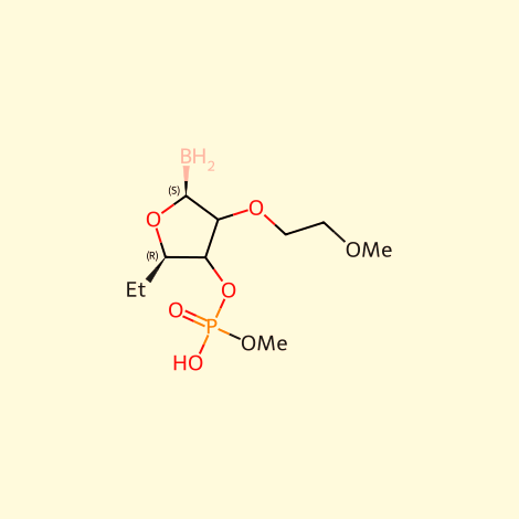 B[C@@H]1O[C@H](CC)C(OP(=O)(O)OC)C1OCCOC